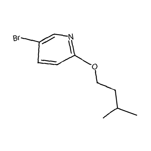 CC(C)CCOc1ccc(Br)cn1